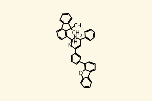 CC1(C)c2ccccc2-c2cccc(C3=NC(c4cccc(-c5cccc6c5oc5ccccc56)c4)=CC(c4ccccc4)N3)c21